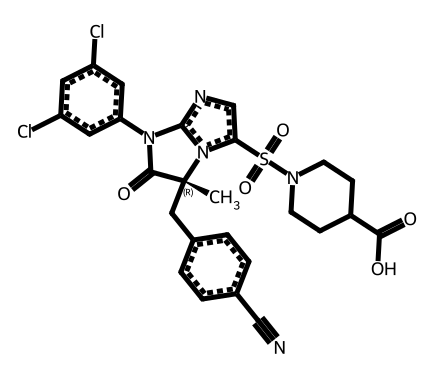 C[C@@]1(Cc2ccc(C#N)cc2)C(=O)N(c2cc(Cl)cc(Cl)c2)c2ncc(S(=O)(=O)N3CCC(C(=O)O)CC3)n21